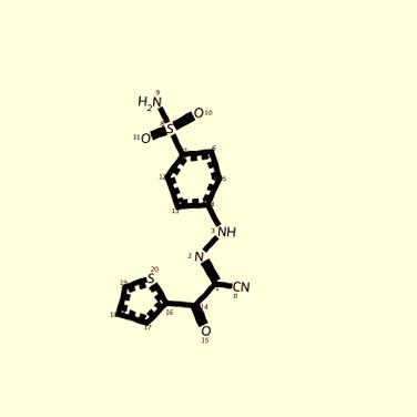 N#C/C(=N\Nc1ccc(S(N)(=O)=O)cc1)C(=O)c1cccs1